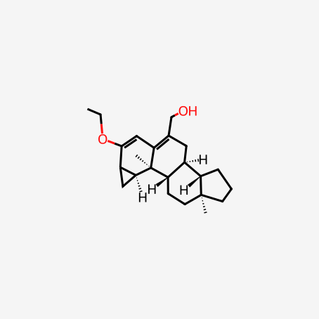 CCOC1=CC2=C(CO)C[C@H]3[C@@H]4CCC[C@@]4(C)CC[C@@H]3[C@@]2(C)[C@H]2CC12